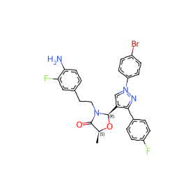 C[C@@H]1O[C@H](c2cn(-c3ccc(Br)cc3)nc2-c2ccc(F)cc2)N(CCc2ccc(N)c(F)c2)C1=O